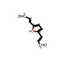 O=CC=Cc1ccc(C=CC=O)o1